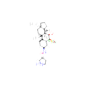 C[C@@]12CCC[C@H]1[C@@H]1C(=O)C(=O)C3CC(=NO[C@@H]4CCNC4)CC[C@]3(C)[C@@H]1CC2.Cl